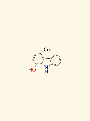 Oc1cccc2c1[nH]c1ccccc12.[Cu]